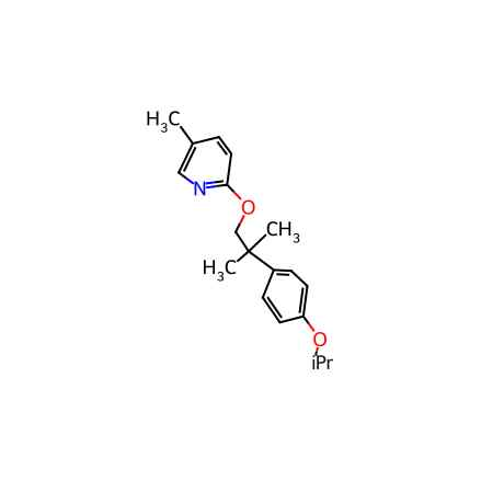 Cc1ccc(OCC(C)(C)c2ccc(OC(C)C)cc2)nc1